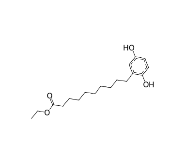 CCOC(=O)CCCCCCCCCc1cc(O)ccc1O